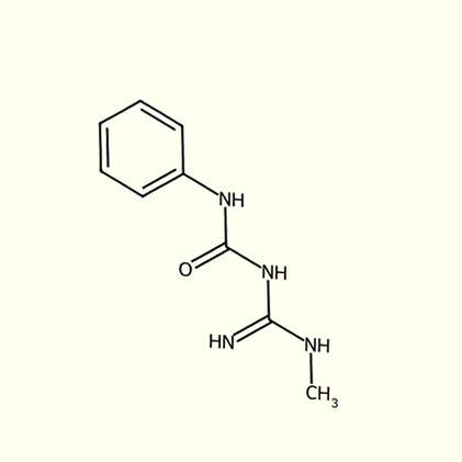 CNC(=N)NC(=O)Nc1ccccc1